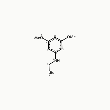 COc1cc(NCC(C)(C)C)cc(OC)c1